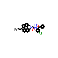 CC(C)CCCc1ccc2ccc3c(c2c1)-c1c(ccc2ccccc12)CN(CC(=O)Nc1ccc(Cl)cc1C(=O)c1ccccc1)C3